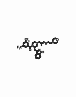 C/C(CN1CCN(C(=O)c2cc(C(F)(F)F)cc(C(F)(F)F)c2)C(Cc2n[nH]c3ccccc23)C1)=N\OCCN1CCOCC1